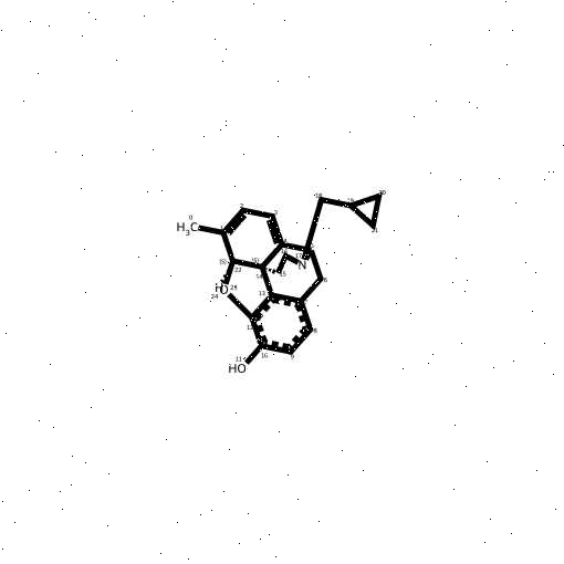 CC1=CC=C2C3Cc4ccc(O)c5c4[C@@]2(CCN3CC2CC2)[C@H]1O5